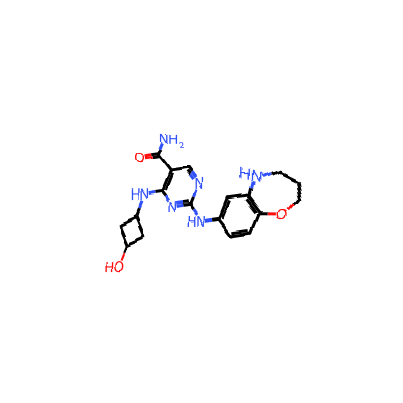 NC(=O)c1cnc(Nc2ccc3c(c2)NCCCO3)nc1NC1CC(O)C1